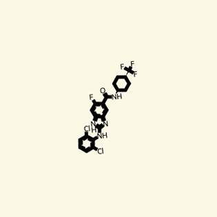 O=C(N[C@H]1CC[C@@H](C(F)(F)F)CC1)c1cc2nc(Nc3c(Cl)cccc3Cl)[nH]c2cc1F